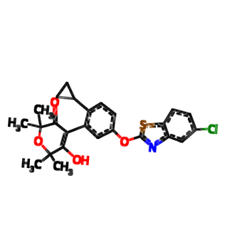 CC1(C)OC(C)(C)C(O)=C(c2cc(Oc3nc4cc(Cl)ccc4s3)ccc2C2CC2)C1=O